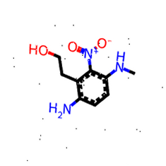 CNc1ccc(N)c(CCO)c1[N+](=O)[O-]